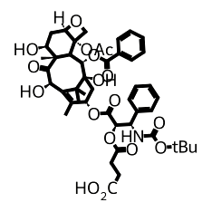 CC(=O)O[C@@]12CO[C@@H]1C[C@H](O)[C@@]1(C)C(=O)[C@H](O)C3=C(C)[C@@H](OC(=O)[C@H](OC(=O)CCC(=O)O)[C@@H](NC(=O)OC(C)(C)C)c4ccccc4)C[C@@](O)([C@@H](OC(=O)c4ccccc4)C12)C3(C)C